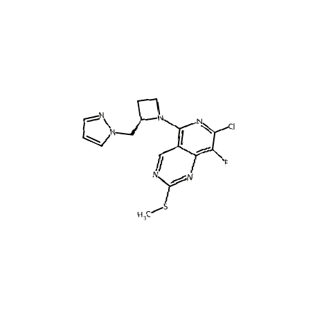 CSc1ncc2c(N3CC[C@@H]3Cn3cccn3)nc(Cl)c(F)c2n1